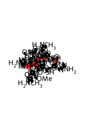 C=C1N=C(N)C(C)=CN1[C@@H]1O[C@H](COP(=O)(S)O[C@@H]2C(OCCOC)[C@H](n3cnc4c(N)ncnc43)O[C@@H]2COP(=O)(S)O[C@@H]2C(OCCOC)[C@H](n3cc(C)c(N)nc3=O)O[C@@H]2COP(=O)(O)O[C@@H]2C(OCCOC)[C@H](n3cc(C)c(N)nc3=O)O[C@@H]2COP(=O)(O)O[C@@H]2C(OCCOC)[C@H](n3cnc4c(=O)[nH]c(N)nc43)O[C@@H]2COP(=O)(S)O[C@@H]2C[C@H](n3cnc4c(N)ncnc43)O[C@@H]2CC)[C@H](O)C1OCCOC